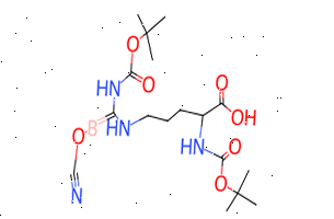 CC(C)(C)OC(=O)NC(=BOC#N)NCCCC(NC(=O)OC(C)(C)C)C(=O)O